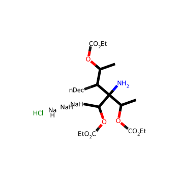 CCCCCCCCCCC(C(C)OC(=O)OCC)C(N)(C(C)OC(=O)OCC)C(C)OC(=O)OCC.Cl.[NaH].[NaH].[NaH]